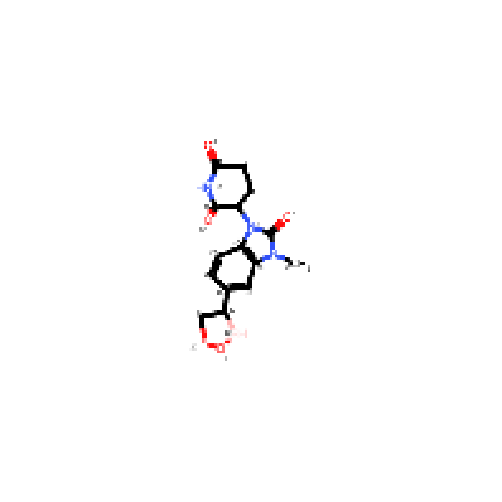 Cn1c(=O)n(C2CCC(=O)NC2=O)c2ccc(C3BOOC3)cc21